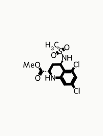 COC(=O)[C@@H]1C[C@@H](NS(C)(=O)=O)c2c(Cl)cc(Cl)cc2N1